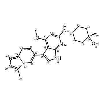 COc1nc(N[C@H]2CC[C@@](C)(O)CC2)nc2[nH]cc(-c3ccc4nnc(C)n4c3)c12